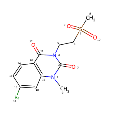 Cn1c(=O)n(CCS(C)(=O)=O)c(=O)c2ccc(Br)cc21